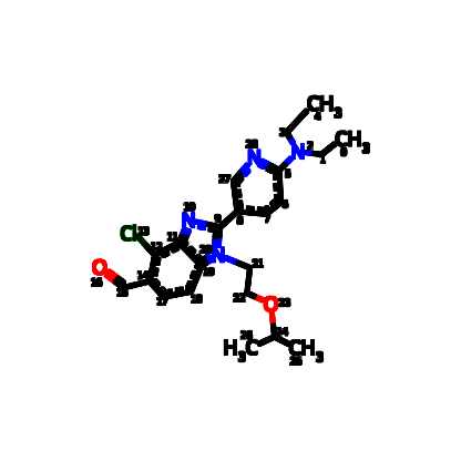 CCN(CC)c1ccc(-c2nc3c(Cl)c(C=O)ccc3n2CCOC(C)C)cn1